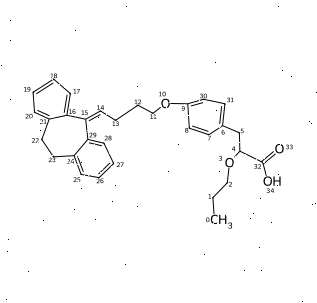 CCCOC(Cc1ccc(OCCCC=C2c3ccccc3CCc3ccccc32)cc1)C(=O)O